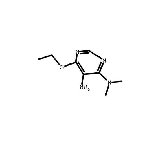 CCOc1ncnc(N(C)C)c1N